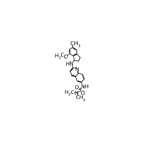 COc1cc(C)cc2c1C(Nc1ccc3cc(NS(=O)(=O)N(C)C)ccc3n1)CC2